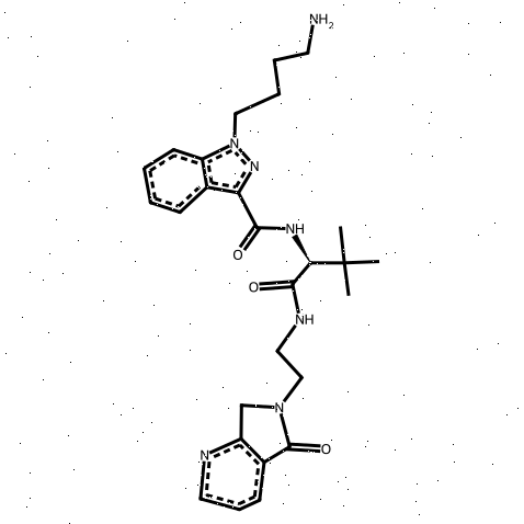 CC(C)(C)[C@H](NC(=O)c1nn(CCCCN)c2ccccc12)C(=O)NCCN1Cc2ncccc2C1=O